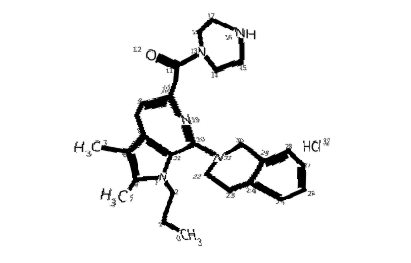 CCCn1c(C)c(C)c2cc(C(=O)N3CCNCC3)nc(N3CCc4ccccc4C3)c21.Cl